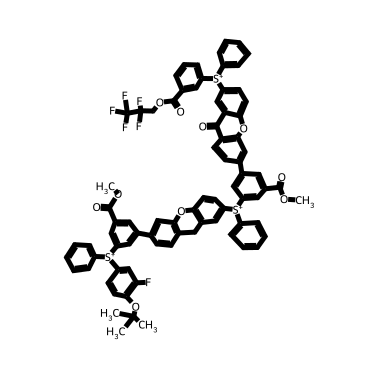 COC(=O)c1cc(-c2ccc3c(c2)Oc2ccc([S+](c4ccccc4)c4cc(C(=O)OC)cc(-c5ccc6c(=O)c7cc([S+](c8ccccc8)c8cccc(C(=O)OCC(F)(F)C(F)(F)F)c8)ccc7oc6c5)c4)cc2C3)cc([S+](c2ccccc2)c2ccc(OC(C)(C)C)c(F)c2)c1